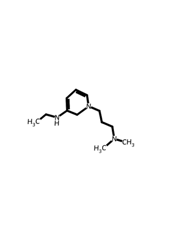 CCNC1=CC=CN(CCCN(C)C)C1